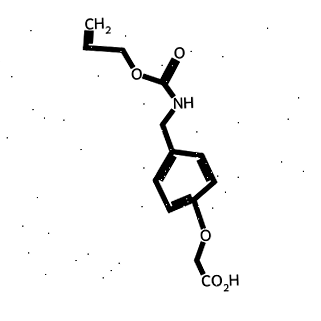 C=CCOC(=O)NCc1ccc(OCC(=O)O)cc1